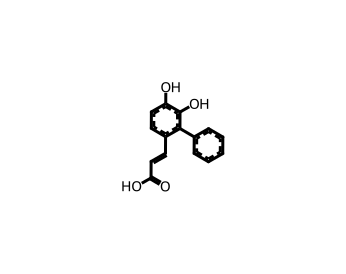 O=C(O)C=Cc1ccc(O)c(O)c1-c1ccccc1